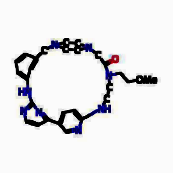 COCCN1CCNc2ccc(cn2)-c2ccnc(n2)Nc2cccc(c2)CN2CCN(CC2)CC1=O